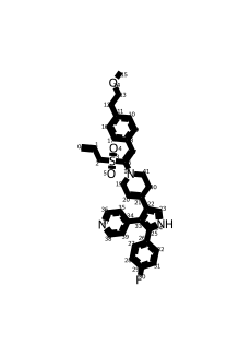 C=CCS(=O)(=O)C(=Cc1ccc(CCOC)cc1)N1CC=C(c2c[nH]c(-c3ccc(F)cc3)c2-c2ccncc2)CC1